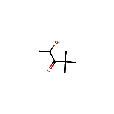 [CH2]C(S)C(=O)C(C)(C)C